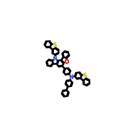 c1ccc(-c2ccc(N(c3ccc(-c4cc5c6ccccc6n(-c6ccc7sc8ccccc8c7c6)c5c5c4oc4ccccc45)cc3)c3ccc4sc5ccccc5c4c3)cc2)cc1